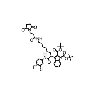 CC(C)(C)OC(=O)c1c(C(CCCCCCNC(=O)CCN2C(=O)C=CC2=O)C(=O)Nc2ccc(F)c(Cl)c2)c2ccccc2n1C(=O)OC(C)(C)C